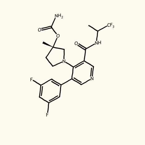 CC(NC(=O)c1cncc(-c2cc(F)cc(F)c2)c1N1CC[C@](C)(OC(N)=O)C1)C(F)(F)F